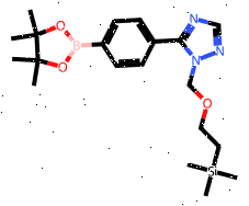 CC1(C)OB(c2ccc(-c3ncnn3COCC[Si](C)(C)C)cc2)OC1(C)C